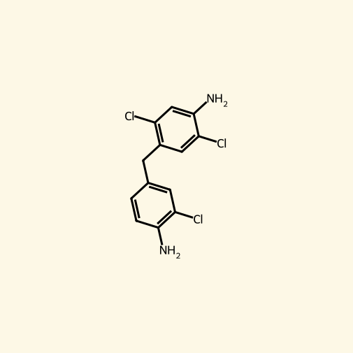 Nc1ccc(Cc2cc(Cl)c(N)cc2Cl)cc1Cl